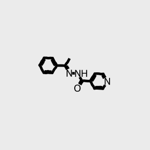 C/C(=N\NC(=O)c1ccncc1)c1ccccc1